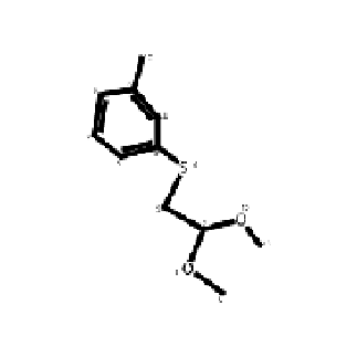 COC(CSc1cccc(C)c1)OC